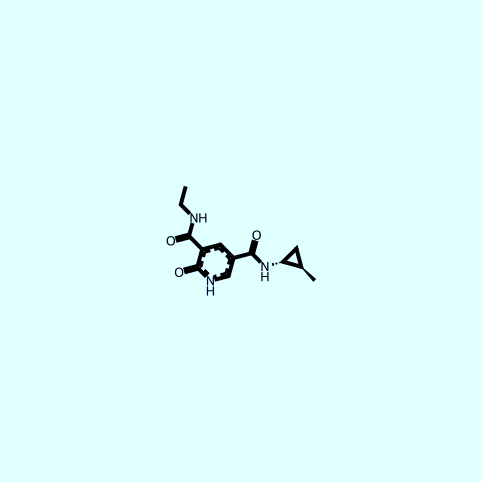 CCNC(=O)c1cc(C(=O)N[C@@H]2C[C@H]2C)c[nH]c1=O